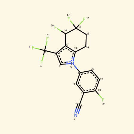 N#Cc1cc(-n2cc(C(F)(F)F)c3c2CCC(F)(F)C3F)ccc1F